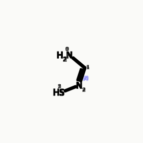 N/C=N\S